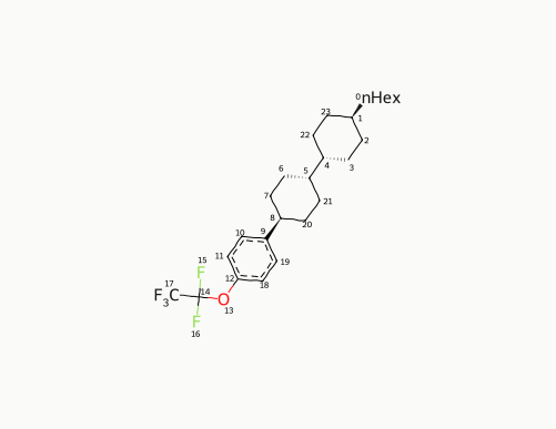 CCCCCC[C@H]1CC[C@H]([C@H]2CC[C@H](c3ccc(OC(F)(F)C(F)(F)F)cc3)CC2)CC1